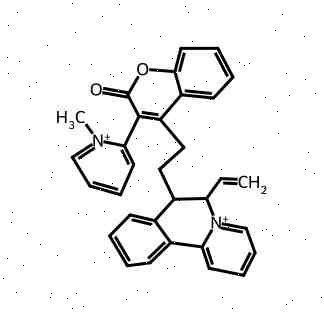 C=CC1C(CCc2c(-c3cccc[n+]3C)c(=O)oc3ccccc23)c2ccccc2-c2cccc[n+]21